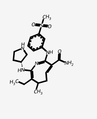 CC/C1=C(N[C@@H]2CCNC2)/N=C(Nc2cccc(S(C)(=O)=O)c2)\C(C(N)=O)=C\CC1C